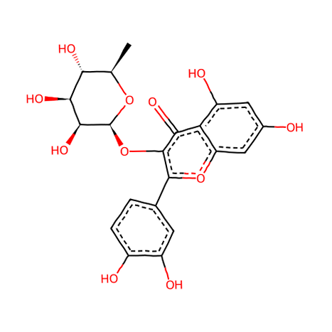 C[C@H]1O[C@@H](Oc2c(-c3ccc(O)c(O)c3)oc3cc(O)cc(O)c3c2=O)[C@@H](O)[C@@H](O)[C@@H]1O